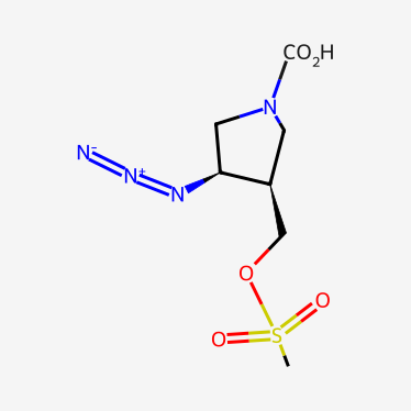 CS(=O)(=O)OC[C@@H]1CN(C(=O)O)C[C@@H]1N=[N+]=[N-]